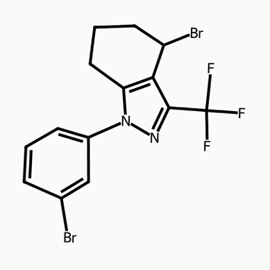 FC(F)(F)c1nn(-c2cccc(Br)c2)c2c1C(Br)CCC2